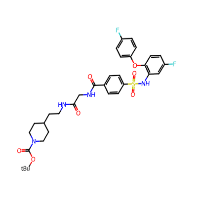 CC(C)(C)OC(=O)N1CCC(CCNC(=O)CNC(=O)c2ccc(S(=O)(=O)Nc3cc(F)ccc3Oc3ccc(F)cc3)cc2)CC1